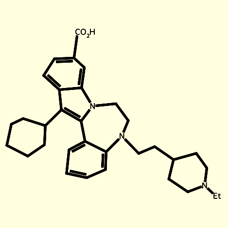 CCN1CCC(CCN2CCn3c(c(C4CCCCC4)c4ccc(C(=O)O)cc43)-c3ccccc32)CC1